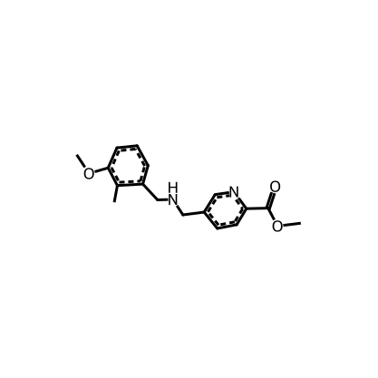 COC(=O)c1ccc(CNCc2cccc(OC)c2C)cn1